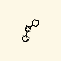 c1cnc(-c2cnc(C3CCCCC3)s2)nc1